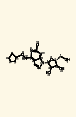 OC[C@H]1O[C@@H](n2ncc3c(NOC4CCCC4)nc(Cl)nc32)[C@H](O)[C@@H]1O